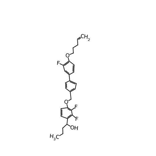 C=CCCCOc1ccc(-c2ccc(COc3ccc(C(O)CCC)c(F)c3F)cc2)cc1F